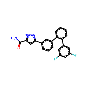 NC(=O)c1cc(-c2cccc(-c3ccccc3-c3cc(F)cc(F)c3)c2)n[nH]1